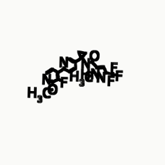 COc1nccc(-c2ccc(C3(NC(=O)c4cc(C(F)(F)F)nn4C)CC3)cn2)c1F